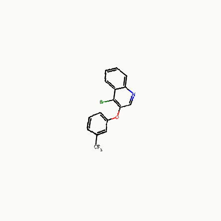 FC(F)(F)c1cccc(Oc2cnc3ccccc3c2Br)c1